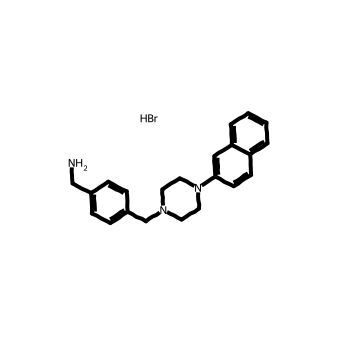 Br.NCc1ccc(CN2CCN(c3ccc4ccccc4c3)CC2)cc1